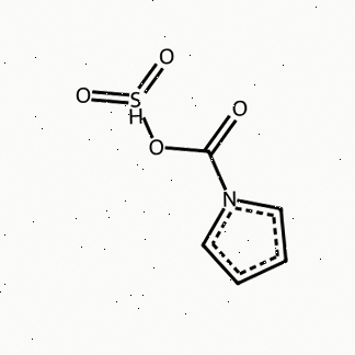 O=C(O[SH](=O)=O)n1cccc1